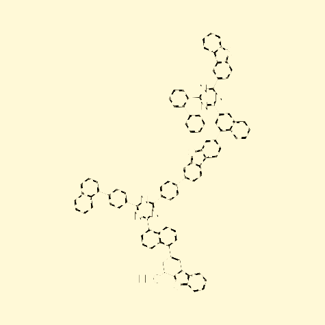 CC1CC(c2cccc3c(-c4nc(-c5ccc(-c6ccc7c(c6)oc6cc(-c8cc(-c9nc(-c%10ccc%11sc%12ccccc%12c%11c%10)nc(-c%10ccccc%10-c%10ccccc%10)n9)cc9ccccc89)ccc67)cc5)nc(-c5ccc(-c6cccc7ccccc67)cc5)n4)cccc23)=Cc2c1oc1ccccc21